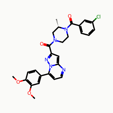 COc1ccc(-c2ccnc3cc(C(=O)N4CCN(C(=O)c5cccc(Cl)c5)[C@@H](C)C4)nn23)cc1OC